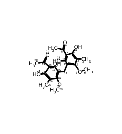 COc1c(C)c(O)c(C(C)=O)c(O)c1Cc1c(O)c(C(C)=O)c(O)c(C)c1OC